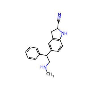 CNCC(c1ccccc1)c1ccc2c(c1)CC(C#N)N2